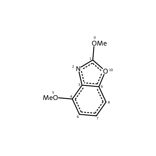 COc1nc2c(OC)cccc2o1